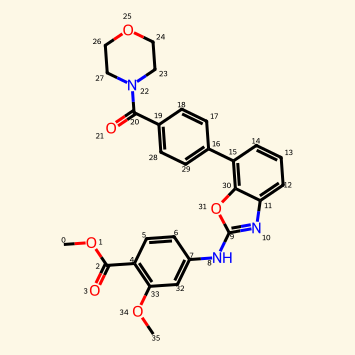 COC(=O)c1ccc(Nc2nc3cccc(-c4ccc(C(=O)N5CCOCC5)cc4)c3o2)cc1OC